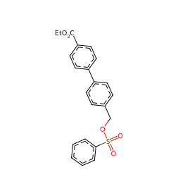 CCOC(=O)c1ccc(-c2ccc(COS(=O)(=O)c3ccccc3)cc2)cc1